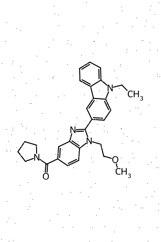 CCn1c2ccccc2c2cc(-c3nc4cc(C(=O)N5CCCC5)ccc4n3CCOC)ccc21